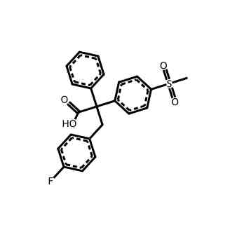 CS(=O)(=O)c1ccc(C(Cc2ccc(F)cc2)(C(=O)O)c2ccccc2)cc1